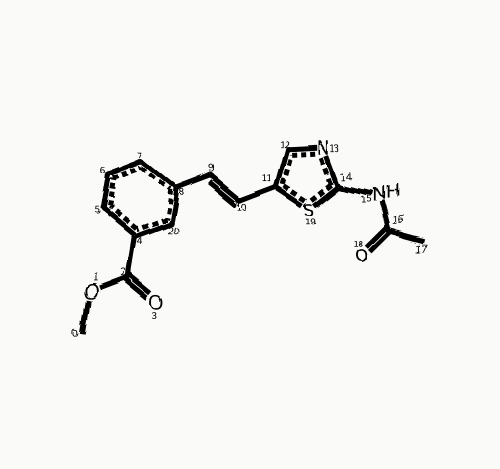 COC(=O)c1cccc(/C=C/c2cnc(NC(C)=O)s2)c1